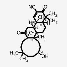 CC1(C)CCC2C(=O)C[C@@H]3[C@@]4(C)C=C(C#N)C(=O)C(C)(C)[C@@H]4CC[C@@]3(C)[C@]2(C)CC[C@@H](O)CC1